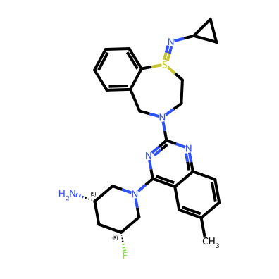 Cc1ccc2nc(N3CCS(=NC4CC4)c4ccccc4C3)nc(N3C[C@@H](N)C[C@@H](F)C3)c2c1